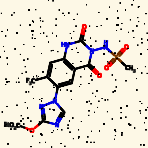 CCOC(=O)Oc1ncn(-c2cc3c(=O)n(NS(C)(=O)=O)c(=O)[nH]c3cc2C(F)(F)F)n1